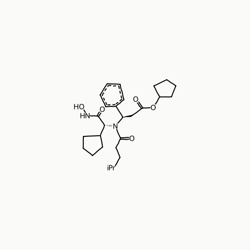 CC(C)CCC(=O)N([C@H](CC(=O)OC1CCCC1)c1ccccc1)[C@@H](C(=O)NO)C1CCCC1